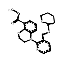 COC(=O)c1cccc2c1OCCN2c1ncccc1COC1CCCCO1